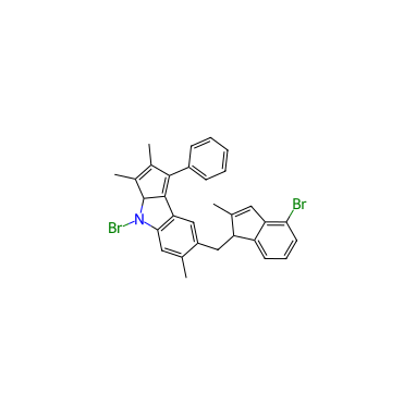 CC1=Cc2c(Br)cccc2C1Cc1cc2c(cc1C)N(Br)C1C(C)=C(C)C(c3ccccc3)=C21